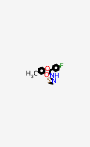 Cc1ccc(OC(C(=O)Nc2nccs2)c2ccc(F)cc2)cc1